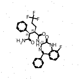 NC(=O)[C@@H](c1ccccc1)[C@@H](CCC(F)(F)F)C(=O)N[C@H]1N=C(c2ccccc2)c2cccc(F)c2NC1=O